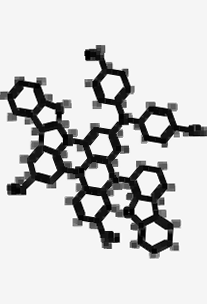 CC(C)(C)C1=CCC(N(C2=CCC(C(C)(C)C)C=C2)c2cc3c4c(c2)-n2c5sc6ccccc6c5c5cc(C(C)(C)C)cc(c52)B4c2ccc(C(C)(C)C)cc2N3C2=c3oc4ccccc4c3=CCC2)C=C1